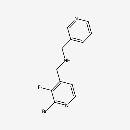 Fc1c(CNCc2cccnc2)ccnc1Br